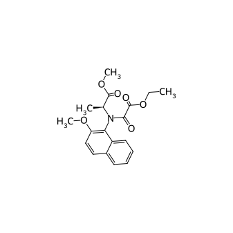 CCOC(=O)C(=O)N(c1c(OC)ccc2ccccc12)[C@@H](C)C(=O)OC